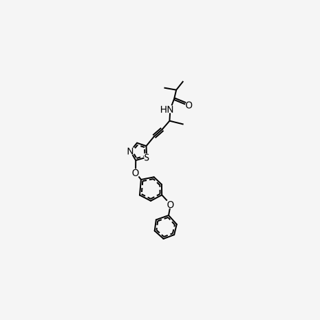 CC(C#Cc1cnc(Oc2ccc(Oc3ccccc3)cc2)s1)NC(=O)C(C)C